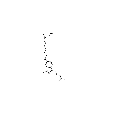 C=CCN(C)CCCCCCOc1ccc2c(CCC=C(C)C)nn(C)c2c1